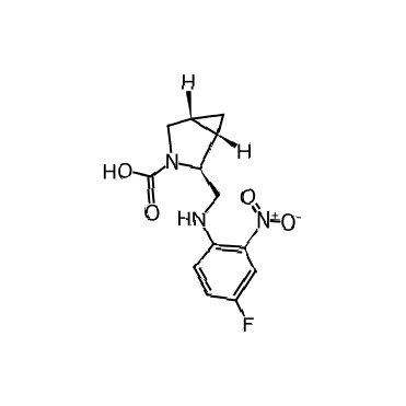 O=C(O)N1C[C@@H]2C[C@@H]2[C@H]1CNc1ccc(F)cc1[N+](=O)[O-]